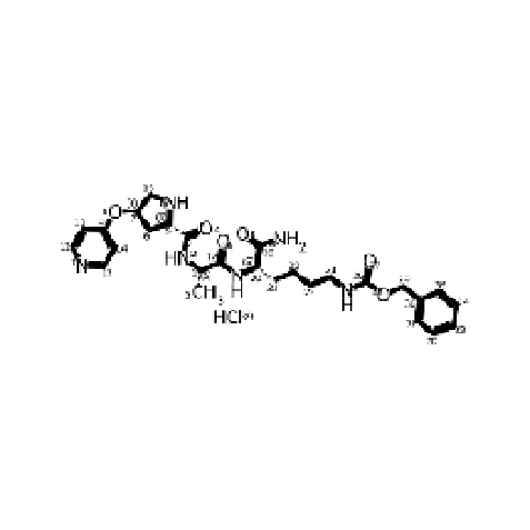 C[C@H](NC(=O)[C@@H]1C[C@@H](Oc2ccncc2)CN1)C(=O)N[C@@H](CCCCNC(=O)OCc1ccccc1)C(N)=O.Cl